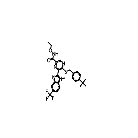 CCONC(=O)c1cnc(SCc2ccc(C(C)(C)C)cc2)c(-c2nc3cc(C(F)(F)F)ccc3n2C)n1